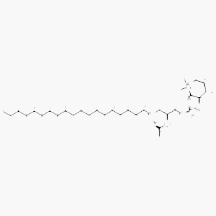 CCCCCCCCCCCCCCCCCCCOCC(COP1(=O)OC2CCC[N+](C)(C)C2O1)OC(C)=O